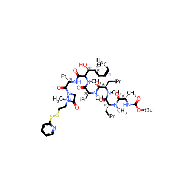 C/C=C\C[C@@H](C)[C@H](O)C(C(=O)N[C@@H](CC)C(=O)N1CC(=O)[N+]1(C)CCSSc1ccccn1)N(C)C(=O)[C@H](C(C)C)N(C)C(=O)[C@@H](CC(C)C)N(C)C(=O)[C@@H](CC(C)C)N(C)C(=O)[C@H](C)NC(=O)OC(C)(C)C